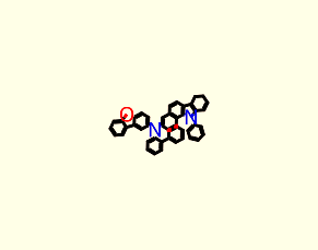 C1=Cc2c(c3ccc4cc(N(c5ccc6oc7ccccc7c6c5)c5ccccc5-c5ccccc5)ccc4c3n2-c2ccccc2)CC1